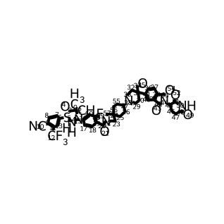 CC1(C)C(=O)[SH](c2ccc(C#N)c(C(F)(F)F)c2)NN1c1ccc(C(=O)N2CC3(CCC(N4CCC5(CC4)COc4cc6c(cc45)C(=O)N(C4CCC(=O)NC4=O)C6=O)CC3)C2)c(F)c1